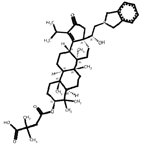 CC(C)C1=C2[C@H]3CC[C@@H]4[C@@]5(C)CC[C@H](OC(=O)CC(C)(C)C(=O)O)C(C)(C)[C@@H]5CC[C@@]4(C)[C@]3(C)CC[C@@]2([C@@H](O)CN2Cc3ccccc3C2)CC1=O